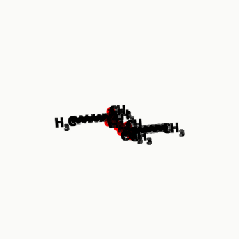 CCCCCCCCCCCCC(OC)=C(OC)C(C)OCOCOC(C)C(OC)=C(CCCCCCCCCCCC)OC